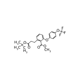 COC(=O)c1c(CCC(=O)OC(C)(C)C)cccc1Oc1ccc(OC(F)(F)F)cc1